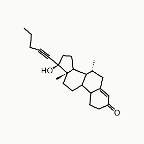 CCCC#C[C@]1(O)CCC2C3C(CC[C@@]21C)C1CCC(=O)C=C1C[C@H]3C